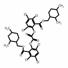 CC1CCC(COC(=O)c2c(Cl)c(Cl)cc(Cl)c2OC(=O)C(=O)Oc2c(Cl)cc(Cl)c(Cl)c2C(=O)OCC2CCC(C)CC2C)C(C)C1